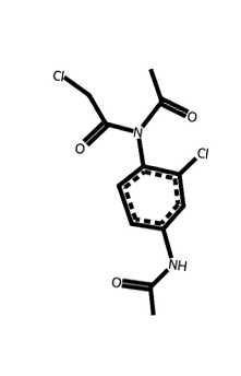 CC(=O)Nc1ccc(N(C(C)=O)C(=O)CCl)c(Cl)c1